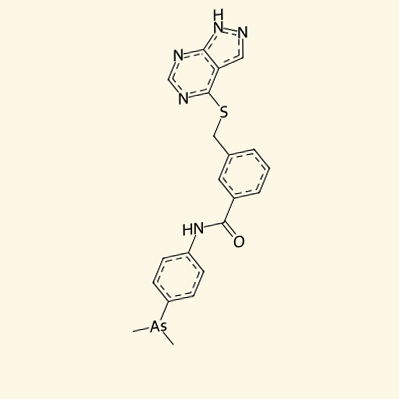 C[As](C)c1ccc(NC(=O)c2cccc(CSc3ncnc4[nH]ncc34)c2)cc1